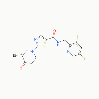 CC[C@@H]1CN(c2ncc(C(=O)NCc3ncc(F)cc3F)s2)CCC1=O